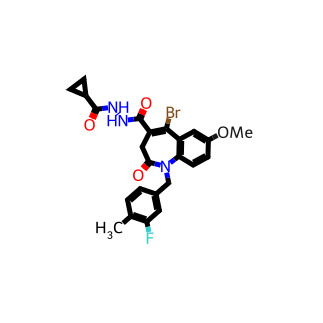 COc1ccc2c(c1)C(Br)=C(C(=O)NNC(=O)C1CC1)CC(=O)N2Cc1ccc(C)c(F)c1